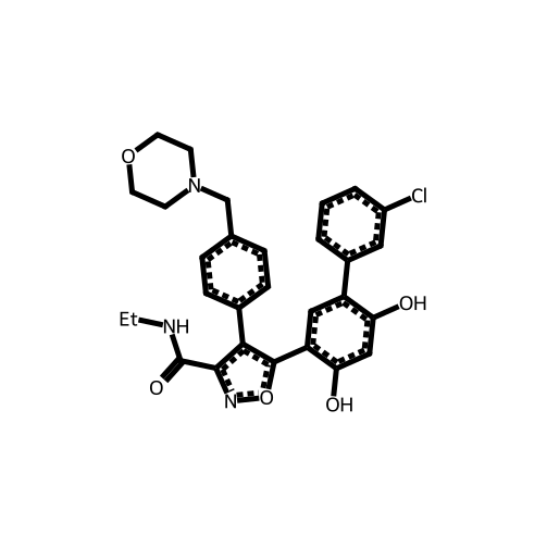 CCNC(=O)c1noc(-c2cc(-c3cccc(Cl)c3)c(O)cc2O)c1-c1ccc(CN2CCOCC2)cc1